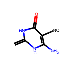 C=C1NC(=O)C(N=O)=C(N)N1